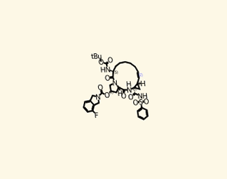 CC(C)(C)OC(=O)N[C@H]1CCCCC/C=C\[C@@H]2C[C@@]2(C(=O)NS(=O)(=O)c2ccccc2)NC(=O)[C@@H]2C[C@@H](OC(=O)N3Cc4cccc(F)c4C3)CN2C1=O